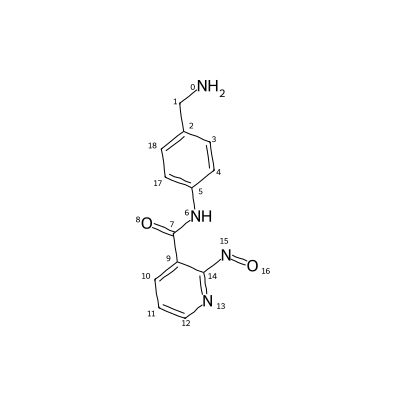 NCc1ccc(NC(=O)c2cccnc2N=O)cc1